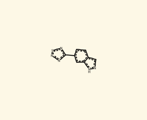 c1cc2cn[nH]c2cc1-c1nnsn1